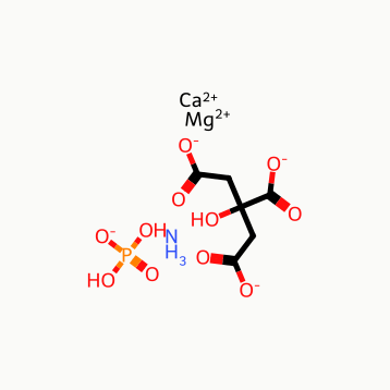 N.O=C([O-])CC(O)(CC(=O)[O-])C(=O)[O-].O=P([O-])(O)O.[Ca+2].[Mg+2]